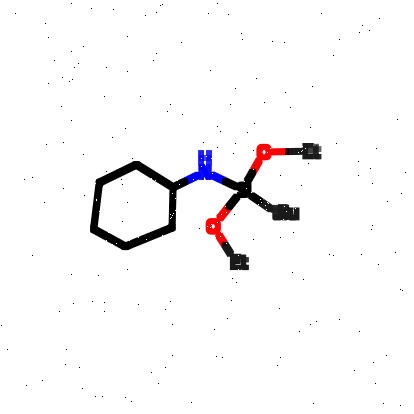 CCO[Si](NC1CCCCC1)(OCC)C(C)(C)C